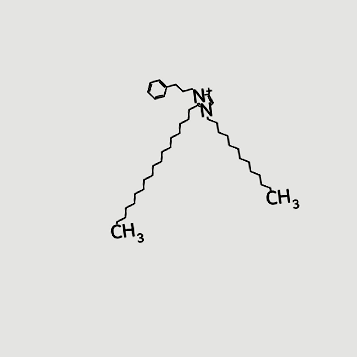 CCCCCCCCCCCCCCCCCCc1n(CCCCCCCCCCCCC)cc[n+]1CCCc1ccccc1